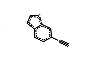 C#Cc1ccc2c[c]oc2c1